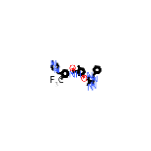 Cc1ccc(Oc2nc(-c3ccccc3)nc3nn(C)cc23)cc1C(=O)Nc1ccc(CN2CCN(C)CC2)c(C(F)(F)F)c1